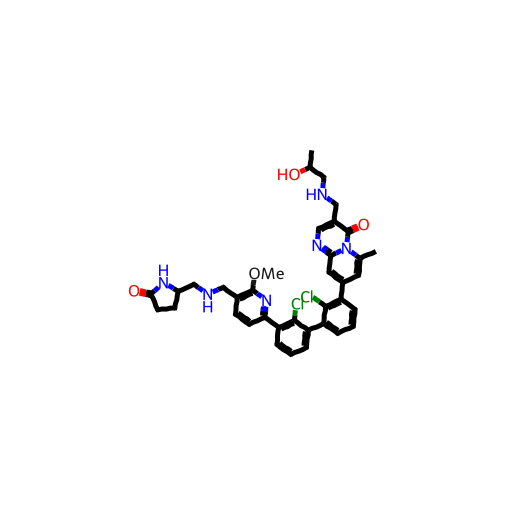 COc1nc(-c2cccc(-c3cccc(-c4cc(C)n5c(=O)c(CNCC(C)O)cnc5c4)c3Cl)c2Cl)ccc1CNCC1CCC(=O)N1